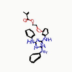 C=C(C)C(=O)OCCOc1cccc(Nc2nc(Nc3ccccc3)nc(Nc3ccccc3)n2)c1